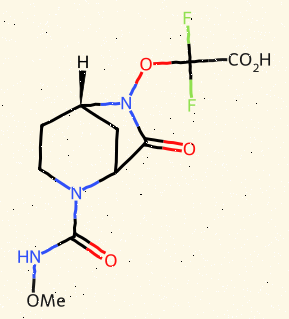 CONC(=O)N1CC[C@H]2CC1C(=O)N2OC(F)(F)C(=O)O